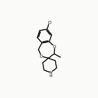 CC1Oc2cc(Cl)ccc2COC12CCNCC2